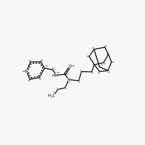 CCCN(CCCC12CC3CC(CC(C3)C1)C2)C(=O)NCc1ccncc1